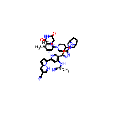 C=C(/C=C\C(=N/C)N1CCC(CN2C3CCC2CN(c2nnc(-c4cnc(-c5ccc6cc(C#N)cnn56)cc4N[C@H](C)C#N)s2)C3)CC1)[C@@H]1CCC(=O)NC1=O